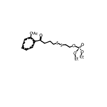 CCOP(=O)(OCC)OCCSSCCCC(=O)c1ccccc1OC(C)=O